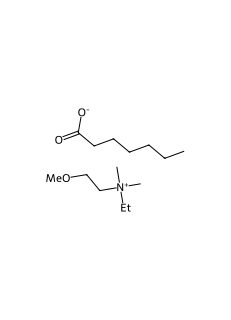 CCCCCCC(=O)[O-].CC[N+](C)(C)CCOC